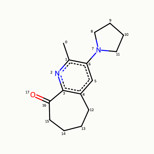 Cc1nc2c(cc1N1CCCC1)CCCCC2=O